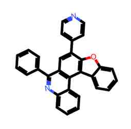 c1ccc(-c2nc3ccccc3c3c2cc(-c2ccncc2)c2oc4ccccc4c23)cc1